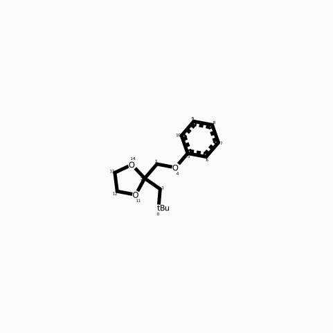 CC(C)(C)CC1(COc2ccccc2)OCCO1